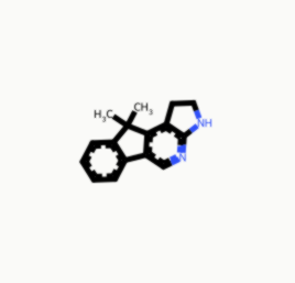 CC1(C)c2ccccc2-c2cnc3c(c21)CCN3